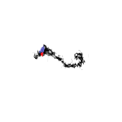 CN1C(=O)c2cccc(F)c2N(C)c2nc(Nc3ccc(CN4CCC(N5CCN(C(=O)CCCCCNC(=O)COc6ccc(C7=[N+]([BH-](F)F)/C(=C\c8ccc(-c9cccs9)[nH]8)C=C7)cc6)CC5)CC4)c(C(F)(F)F)c3)ncc21